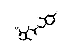 Cc1nsc(I)c1NC(=O)OCc1ccc(Cl)cc1Cl